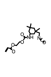 C=CC(=O)OCCOC(=O)NC1CC(C)(C)CC(C)(CN=C=O)C1